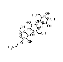 NCCO[C@@H]1O[C@@H](CO)[C@@H](O[C@@H]2OC(CO)[C@H](O[C@H]3CC(CO)[C@H](O)[C@H](O)C3O)[C@H](O)C2O)C(O)C1O